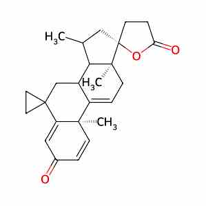 CC1C[C@@]2(CCC(=O)O2)[C@@]2(C)CC=C3C(CC4(CC4)C4=CC(=O)C=C[C@]34C)C12